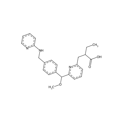 CCC(Cc1cccc(C(OC)c2ccc(CNc3ccccn3)cc2)n1)C(=O)O